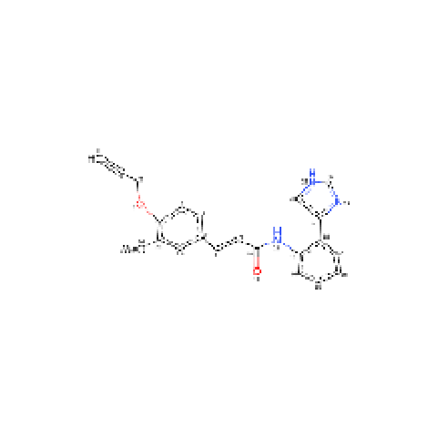 C#CCOc1ccc(/C=C/C(=O)Nc2ccccc2-c2c[nH]cn2)cc1OC